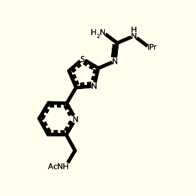 CC(=O)NCc1cccc(-c2csc(/N=C(\N)NC(C)C)n2)n1